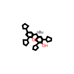 CCCCC(c1cc(C2CCCC2)c(O)c(C2CCCC2)c1)c1cc(C2CCCC2)cc(C2CCCC2)c1O